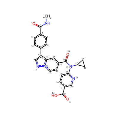 CNC(=O)c1ccc(-c2cnn3ccc(C(=O)N(c4ccc(C(=O)O)cn4)C4CC4)cc23)cc1